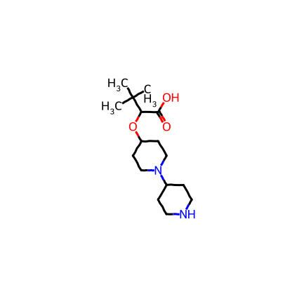 CC(C)(C)C(OC1CCN(C2CCNCC2)CC1)C(=O)O